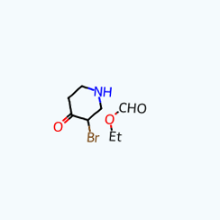 CCOC=O.O=C1CCNCC1Br